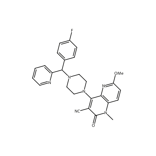 COc1ccc2c(n1)c(N1CCN(C(c3ccc(F)cc3)c3ccccn3)CC1)c(C#N)c(=O)n2C